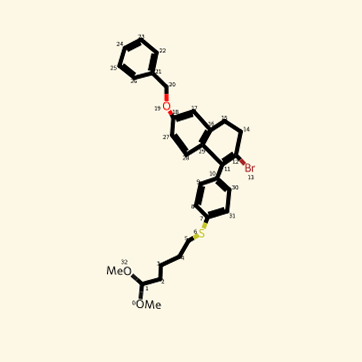 COC(CCCCSc1ccc(C2=C(Br)CCc3cc(OCc4ccccc4)ccc32)cc1)OC